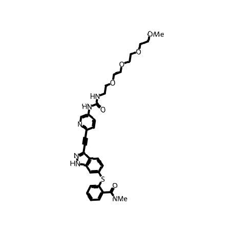 CNC(=O)c1ccccc1Sc1ccc2c(C#Cc3ccc(NC(=O)NCCOCCOCCOCCOC)cn3)n[nH]c2c1